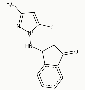 O=C1CC(N[N+]2N=C(C(F)(F)F)C=C2Cl)c2ccccc21